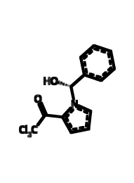 O=C(c1cccn1[C@H](O)c1ccccc1)C(Cl)(Cl)Cl